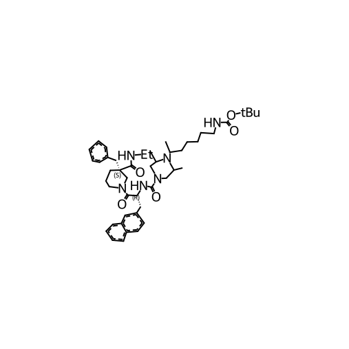 CCNC(=O)[C@]1(Cc2ccccc2)CCCN(C(=O)[C@@H](Cc2ccc3ccccc3c2)NC(=O)N2CC(C)N(C(C)CCCCCNC(=O)OC(C)(C)C)C(C)C2)C1